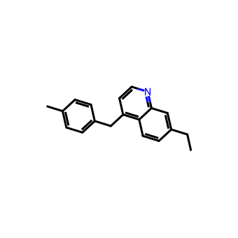 CCc1ccc2c(Cc3ccc(C)cc3)ccnc2c1